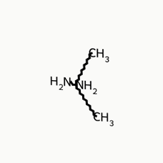 CCCCCCCCCCCCC(N)(CCN)CCCCCCCCCCCC